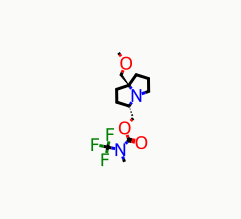 COC[C@@]12CCCN1[C@H](COC(=O)N(C)C(F)(F)F)CC2